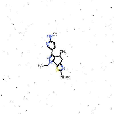 CCNc1ccc(-c2nn(CC(F)(F)F)c3c2C(C)Cc2nc(NC(C)=O)sc2-3)cn1